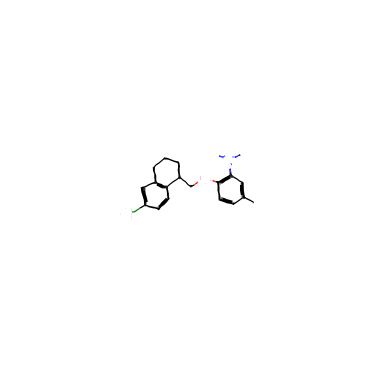 Cc1ccc(OCC2CCCc3cc(Cl)ccc32)c(N(C)C)c1